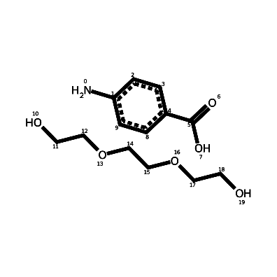 Nc1ccc(C(=O)O)cc1.OCCOCCOCCO